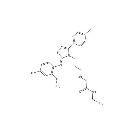 CCNC(=O)CNCCCn1c(-c2ccc(F)cc2)csc1=Nc1ccc(Cl)cc1OC